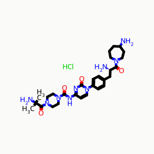 CC(C)(N)C(=O)N1CCN(C(=O)Nc2ccn(-c3ccc(C[C@H](N)C(=O)N4CCCC(N)CC4)cc3)c(=O)n2)CC1.Cl